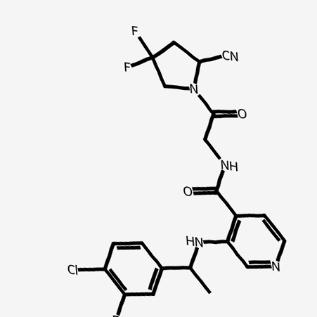 CC(Nc1cnccc1C(=O)NCC(=O)N1CC(F)(F)CC1C#N)c1ccc(Cl)c(F)c1